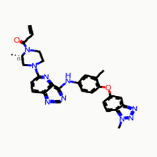 C=CC(=O)N1CCN(c2ccc3ncnc(Nc4ccc(Oc5ccc6c(c5)nnn6C)c(C)c4)c3n2)C[C@@H]1C